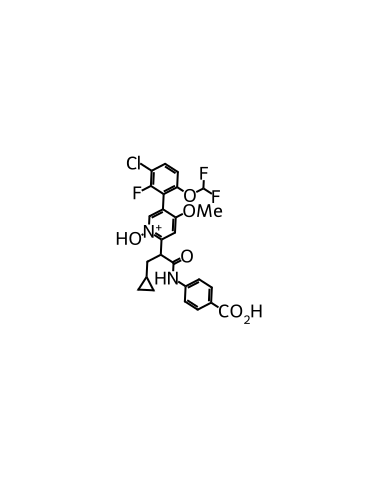 COc1cc(C(CC2CC2)C(=O)Nc2ccc(C(=O)O)cc2)[n+](O)cc1-c1c(OC(F)F)ccc(Cl)c1F